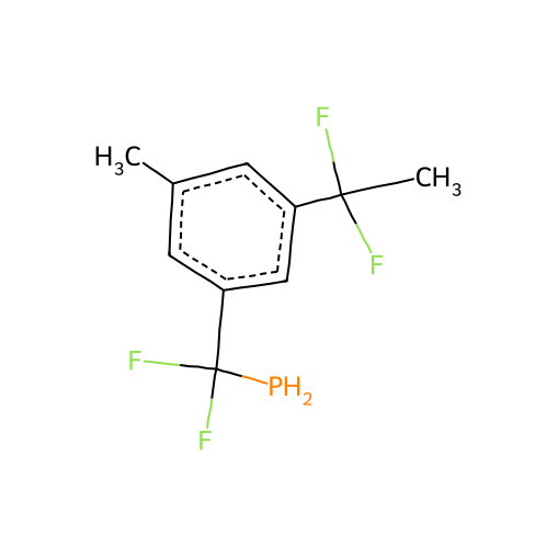 Cc1cc(C(C)(F)F)cc(C(F)(F)P)c1